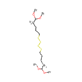 CC(C)OC(OC(C)C)[SiH2]CCCSSSSCCC[SiH2]C(OC(C)C)OC(C)C